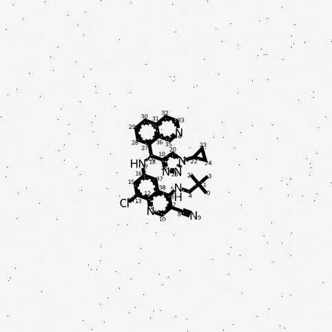 CC(C)(C)CNc1c(C#N)cnc2c(Cl)cc(N[C@H](c3cn(C4CC4)nn3)c3cccc4ccncc34)cc12